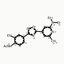 CCc1cc(-c2noc(-c3cc(C)nc(N(CC)CC)c3)n2)ccc1NC(C)=O